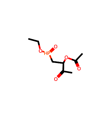 CCO[PH](=O)CC(OC(C)=O)C(C)=O